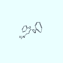 NCC=C(Oc1ccccc1)Oc1ccccc1